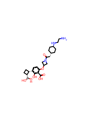 NCCN[C@H]1CC[C@H](CC(=O)N2CC(Oc3ccc([C@H]4CC[C@H]4B(O)O)c(O)c3C(=O)O)C2)CC1